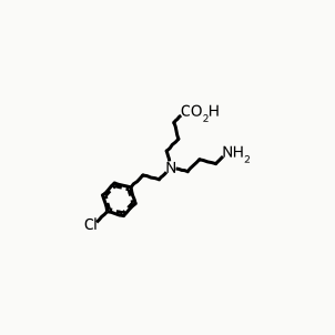 NCCCN(CCCC(=O)O)CCc1ccc(Cl)cc1